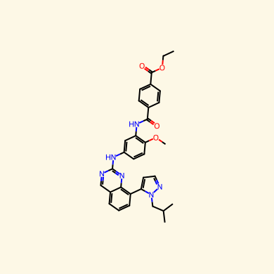 CCOC(=O)c1ccc(C(=O)Nc2cc(Nc3ncc4cccc(-c5ccnn5CC(C)C)c4n3)ccc2OC)cc1